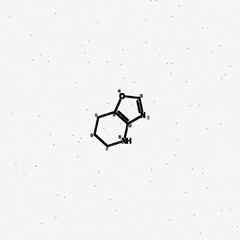 c1nc2c(o1)CCCN2